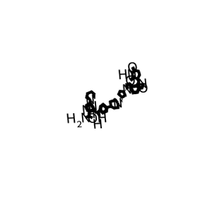 NC(O)c1ncc(N2CCCCC2)nc1Nc1ccc(C2CCN(C[C@@H]3CC[C@H](n4ccc5c6c(C7CCC(=O)NC7=O)noc6ccc54)C3)CC2)cc1